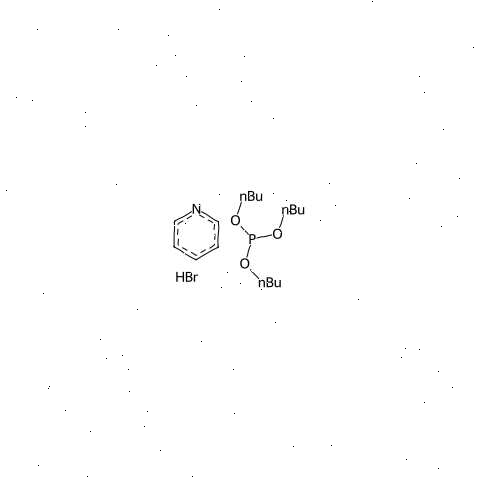 Br.CCCCOP(OCCCC)OCCCC.c1ccncc1